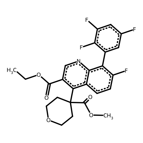 CCOC(=O)c1cnc2c(-c3cc(F)cc(F)c3F)c(F)ccc2c1C1(C(=O)OC)CCOCC1